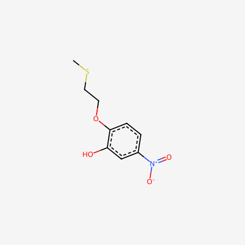 CSCCOc1ccc([N+](=O)[O-])cc1O